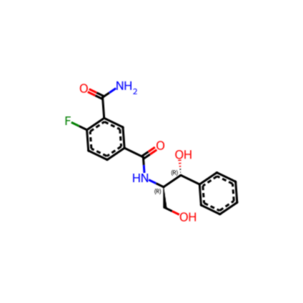 NC(=O)c1cc(C(=O)N[C@H](CO)[C@H](O)c2ccccc2)ccc1F